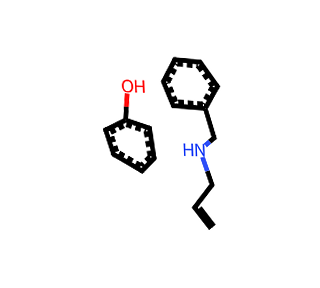 C=CCNCc1ccccc1.Oc1ccccc1